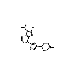 CC(C)n1c(Cl)nc2c1C=CCC2c1nc(C2CCN(C)CC2)cs1